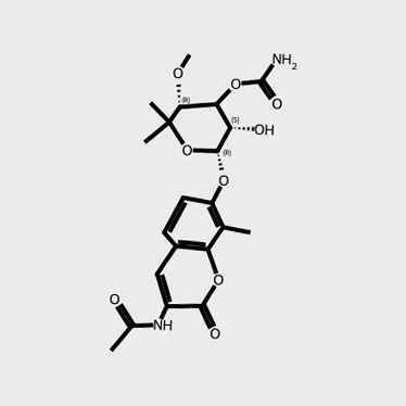 CO[C@@H]1C(OC(N)=O)[C@H](O)[C@H](Oc2ccc3cc(NC(C)=O)c(=O)oc3c2C)OC1(C)C